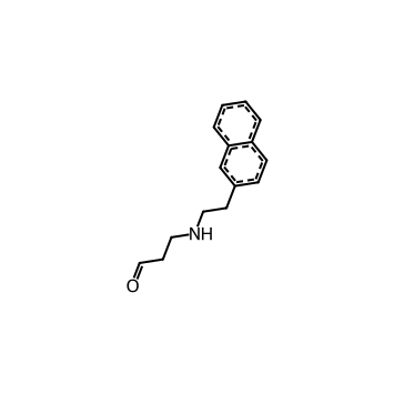 O=CCCNCCc1ccc2ccccc2c1